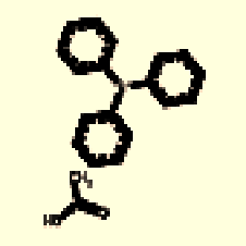 CC(=O)O.c1ccc([S+](c2ccccc2)c2ccccc2)cc1